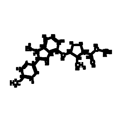 CCn1c(-c2cnc(C)nc2)nc2c(OC3CCN(C(=O)OC(C)(C)C)C3C)ncnc21